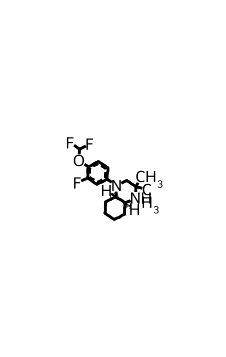 CC1(C)CN(c2ccc(OC(F)F)c(F)c2)[C@H]2CCCC[C@@H]2N1